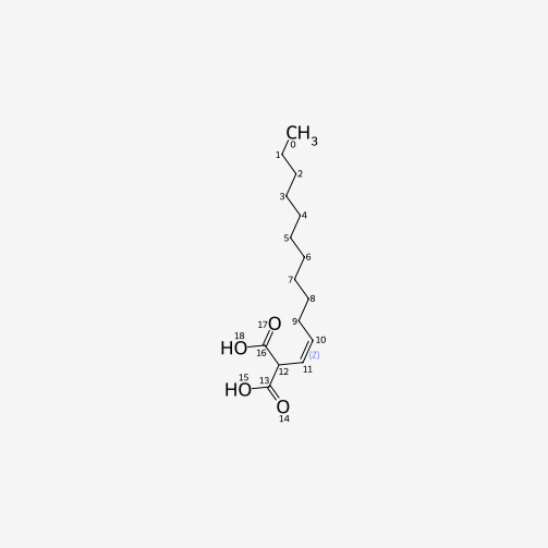 CCCCCCCCCC/C=C\C(C(=O)O)C(=O)O